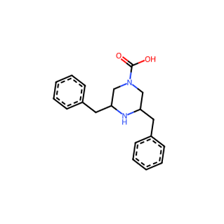 O=C(O)N1CC(Cc2ccccc2)NC(Cc2ccccc2)C1